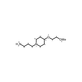 COCCOC1CCN(CCCN)CC1